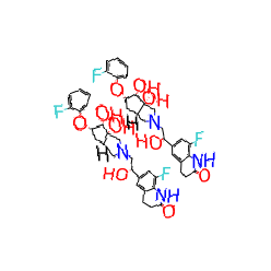 O=C1CCc2cc([C@@H](O)CN3C[C@H]4C[C@H](Oc5ccccc5F)[C@H](O)[C@@]4(O)C3)cc(F)c2N1.O=C1CCc2cc([C@H](O)CN3C[C@H]4C[C@H](Oc5ccccc5F)[C@H](O)[C@@]4(O)C3)cc(F)c2N1